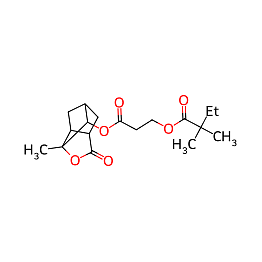 CCC(C)(C)C(=O)OCCC(=O)OC1C2CC3C(=O)OC1(C)C3C2